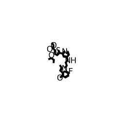 CCC(C)Oc1cc(-c2cc(NCCn3c(C)cc4c(OC)ccc(F)c43)ccn2)sc1C(=O)OC